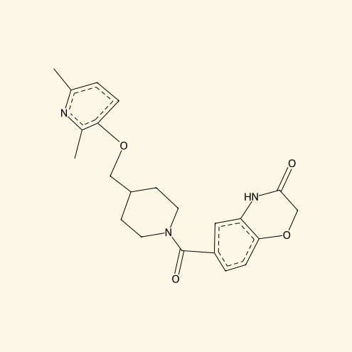 Cc1ccc(OCC2CCN(C(=O)c3ccc4c(c3)NC(=O)CO4)CC2)c(C)n1